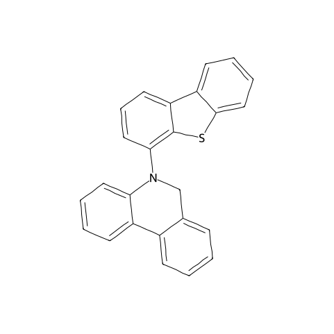 c1ccc2c(c1)CN(c1cccc3c1sc1ccccc13)c1ccccc1-2